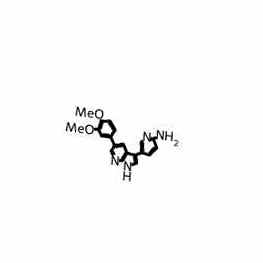 COc1ccc(-c2cnc3[nH]cc(-c4ccc(N)nc4)c3c2)cc1OC